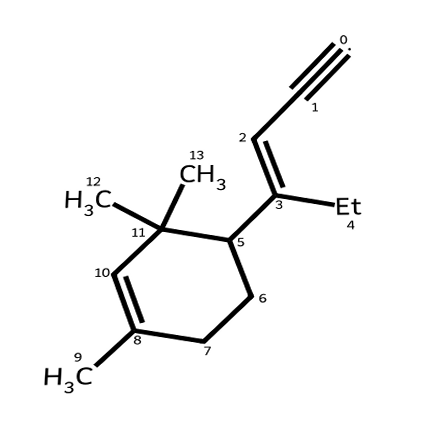 [C]#CC=C(CC)C1CCC(C)=CC1(C)C